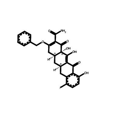 NC(=O)C1=C(OCc2ccccc2)C[C@@H]2C[C@@H]3Cc4c(I)ccc(O)c4C(=O)C3=C(O)[C@]2(O)C1=O